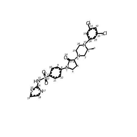 C[C@H]1CN([C@H]2CCN(c3ccc(S(=O)(=O)Nc4nccs4)cc3)C2=O)CCN1c1cc(Cl)cc(Cl)c1